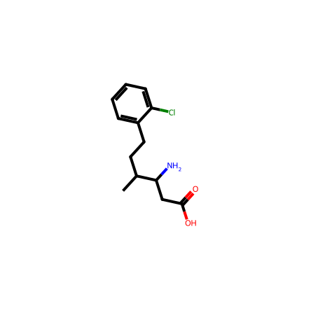 CC(CCc1ccccc1Cl)C(N)CC(=O)O